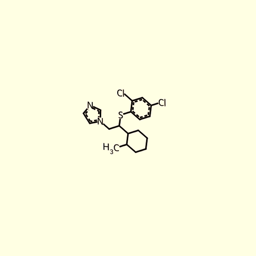 CC1CCCCC1C(Cn1ccnc1)Sc1ccc(Cl)cc1Cl